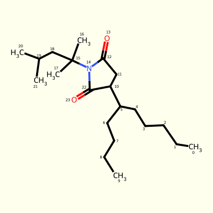 CCCCCC(CCCC)C1CC(=O)N(C(C)(C)CC(C)C)C1=O